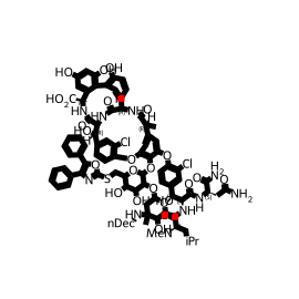 CCCCCCCCCCNC1(C)CC(OC2C(Oc3c4cc(cc3Oc3ccc([C@@H](O)[C@@H](NC(=O)[C@H](CC(C)C)NC)C(=O)N[C@@H](CC(N)=O)C(N)=O)cc3Cl)[C@@H](C)C(=O)N[C@H]3C(=O)NC(C(=O)N[C@@H](C(=O)O)c5cc(O)cc(O)c5-c5cc3ccc5O)[C@H](O)c3ccc(c(Cl)c3)O4)OC(CSc3nc(-c4ccccc4)c(-c4ccccc4)o3)C(O)C2O)OC(C)C1O